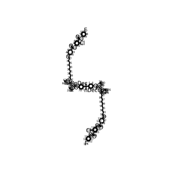 CCCCCCCCCCC(Oc1ccc(C(C)(C)c2ccc(OC(CCCCCCCCCC)[Si](C)(O[Si](C)(C)C)O[Si](C)(CCCCCCCCCCCOC3CCC(C(=O)Oc4ccc(C(=O)Oc5ccc(F)cc5)c(Cl)c4)CC3)O[Si](C)(C)C)cc2)cc1)[Si](C)(O[Si](C)(C)C)O[Si](C)(CCCCCCCCCCCOC1CCC(C(=O)Oc2ccc(C(=O)Oc3ccc(F)cc3)c(Cl)c2)CC1)O[Si](C)(C)C